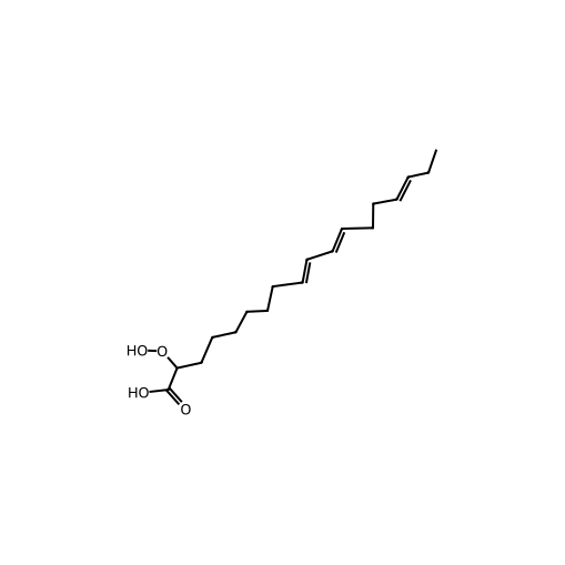 CCC=CCCC=CC=CCCCCCCC(OO)C(=O)O